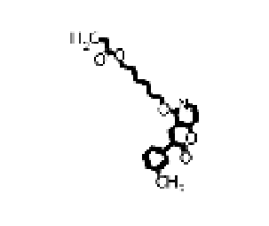 C=CC(=O)OCCCCCCOc1nccc2oc(=O)c(-c3cccc(C)c3)cc12